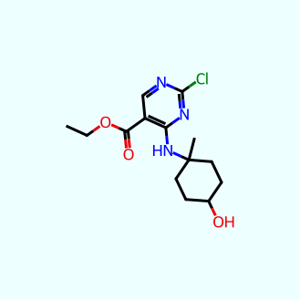 CCOC(=O)c1cnc(Cl)nc1NC1(C)CCC(O)CC1